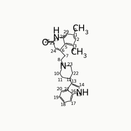 Cc1cc(C)c2c(CCN3CCC(c4c[nH]c5ccccc45)CC3)cc(=O)[nH]c2c1